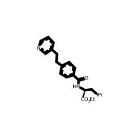 CCOC(=O)[C@H](CC(C)C)NC(=O)c1ccc(CCc2cccnc2)cc1